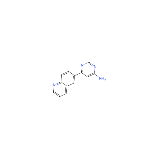 Nc1cc(-c2ccc3ncccc3c2)ncn1